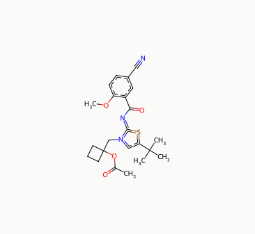 COc1ccc(C#N)cc1C(=O)N=c1sc(C(C)(C)C)cn1CC1(OC(C)=O)CCC1